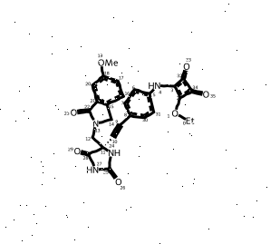 CCOc1c(Nc2ccc(C#C[C@]3(CN4Cc5ccc(OC)cc5C4=O)NC(=O)NC3=O)cc2)c(=O)c1=O